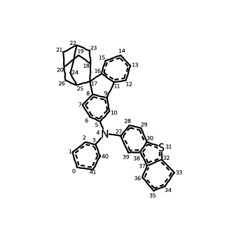 c1ccc(N(c2ccc3c(c2)-c2ccccc2C32C3CC4CC(C3)CC2C4)c2ccc3sc4ccccc4c3c2)cc1